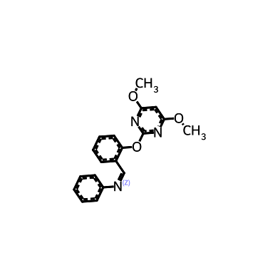 COc1cc(OC)nc(Oc2ccccc2/C=N\c2ccccc2)n1